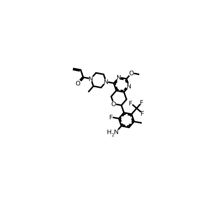 C=CC(=O)N1CCN(c2nc(OC)nc3c2COC(c2c(F)c(N)cc(C)c2C(F)(F)F)C3)CC1C